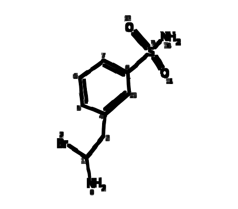 NC(Br)Cc1cccc(S(N)(=O)=O)c1